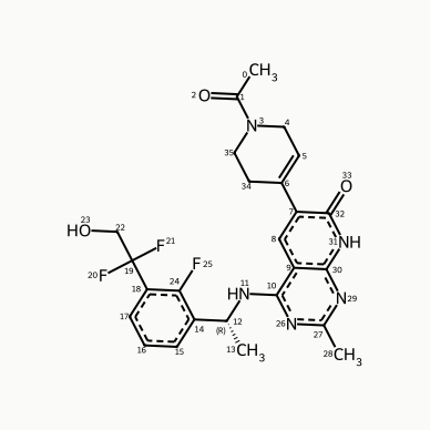 CC(=O)N1CC=C(c2cc3c(N[C@H](C)c4cccc(C(F)(F)CO)c4F)nc(C)nc3[nH]c2=O)CC1